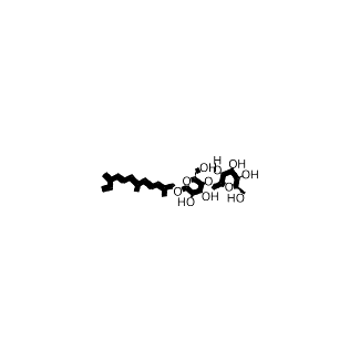 C=CC(=C)/C=C/C=C(C)/C=C/C=C(\C)COC1O[C@H](CO)[C@@H](OCC2O[C@H](CO)[C@@H](O)[C@H](O)[C@H]2O)[C@H](O)[C@H]1O